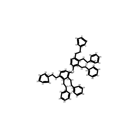 c1ccc(CCc2ccc(Oc3ccc(CCc4ccccc4)c(CCc4ccccc4)c3CCc3ccccc3)c(CCc3ccccc3)c2CCc2ccccc2)cc1